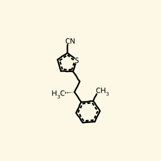 Cc1ccccc1[C@H](C)Cc1ccc(C#N)s1